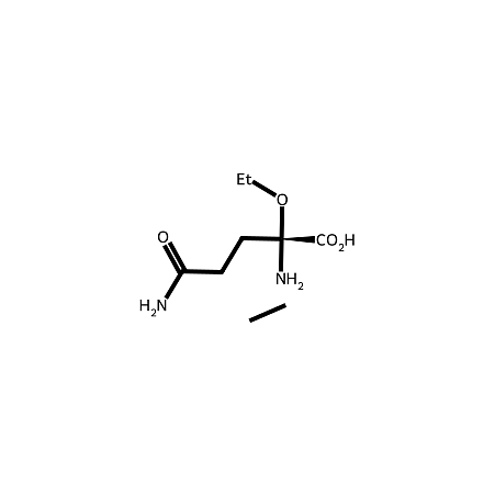 CC.CCO[C@](N)(CCC(N)=O)C(=O)O